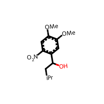 COc1cc(C(O)CC(C)C)c([N+](=O)[O-])cc1OC